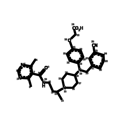 Cc1ncnc(C)c1C(=O)NCCC(C)N1CCC(N(Cc2cccc(C#N)c2)c2ccc(OCC(=O)O)cc2)CC1